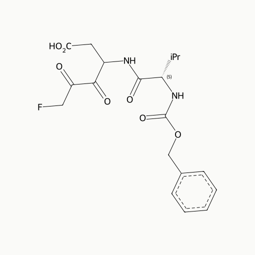 CC(C)[C@H](NC(=O)OCc1ccccc1)C(=O)NC(CC(=O)O)C(=O)C(=O)CF